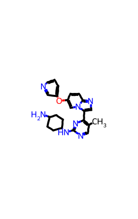 Cc1cnc(NC2CCC(N)CC2)nc1-c1cnc2ccc(Oc3cccnc3)cn12